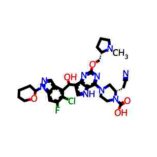 CN1CCC[C@H]1COc1nc(N2CCN(C(=O)O)[C@@H](CC#N)C2)c2[nH]cc(C(O)c3c(Cl)c(F)cc4c3cnn4C3CCCCO3)c2n1